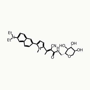 CCN(CC)c1ccc2cc(-c3ccc(/C(C)=C(\C#N)C(=O)NC[C@H]4OC[C@H](O)[C@@H](O)[C@@H]4O)n3C)ccc2c1